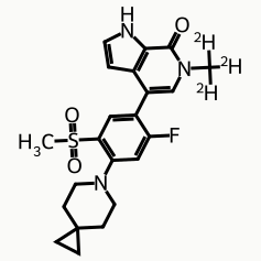 [2H]C([2H])([2H])n1cc(-c2cc(S(C)(=O)=O)c(N3CCC4(CC3)CC4)cc2F)c2cc[nH]c2c1=O